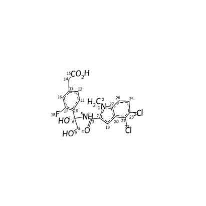 Cn1c(C(=O)N[C@@](O)(CO)c2ccc(CC(=O)O)cc2F)cc2c(Cl)c(Cl)ccc21